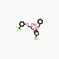 O=C1CC2C(OCc3ccccc3)CC1C2OCC(O)COc1cccc(C(F)(F)F)c1